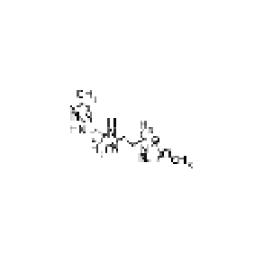 C=N/C(=C\C=C(/C)n1nccc(OC)c1=O)N[C@H]1CC[C@H](Nc2ncc(C)nn2)C1